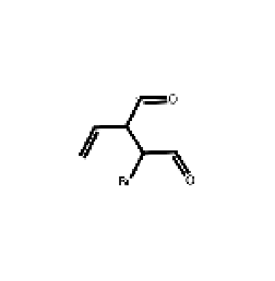 C=CC([C]=O)C(Br)C=O